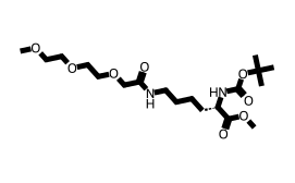 COCCOCCOCC(=O)NCCCC[C@H](NC(=O)OC(C)(C)C)C(=O)OC